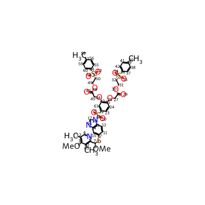 COc1c(C)cnc(C(OC)Sc2ccc3c(c2)ncn3S(=O)(=O)c2ccc(OCC(=O)OCCS(=O)(=O)c3ccc(C)cc3)c(OCC(=O)OCCS(=O)(=O)c3ccc(C)cc3)c2)c1C